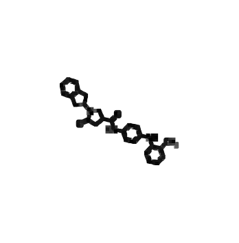 Cc1ccccc1Nc1ccc(NC(=O)C2CC(=O)N(C3Cc4ccccc4C3)C2)cc1